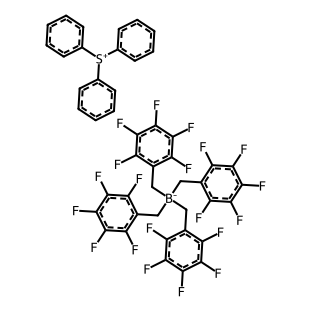 Fc1c(F)c(F)c(C[B-](Cc2c(F)c(F)c(F)c(F)c2F)(Cc2c(F)c(F)c(F)c(F)c2F)Cc2c(F)c(F)c(F)c(F)c2F)c(F)c1F.c1ccc([S+](c2ccccc2)c2ccccc2)cc1